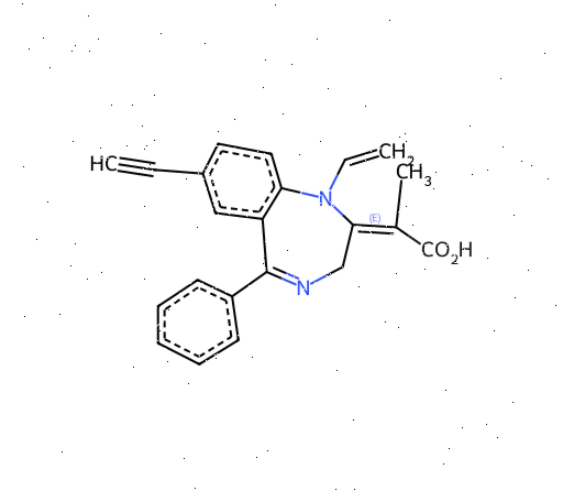 C#Cc1ccc2c(c1)C(c1ccccc1)=NC/C(=C(/C)C(=O)O)N2C=C